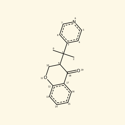 CC(C)(c1ccncc1)C1COc2ccccc2C1=O